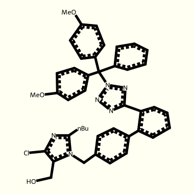 CCCCc1nc(Cl)c(CO)n1Cc1ccc(-c2ccccc2-c2nnn(C(c3ccccc3)(c3ccc(OC)cc3)c3ccc(OC)cc3)n2)cc1